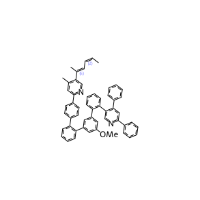 C/C=C\C=C(/C)c1cnc(-c2ccc(-c3ccccc3-c3cc(OC)cc(-c4ccccc4-c4cnc(-c5ccccc5)cc4-c4ccccc4)c3)cc2)cc1C